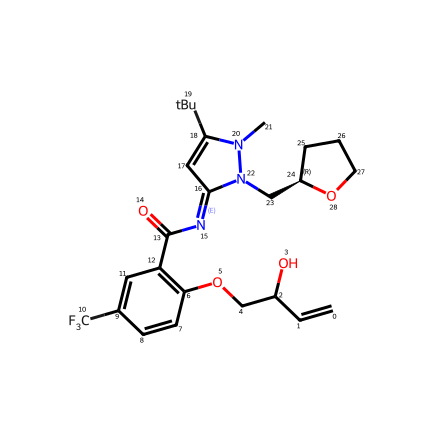 C=CC(O)COc1ccc(C(F)(F)F)cc1C(=O)/N=c1\cc(C(C)(C)C)n(C)n1C[C@H]1CCCO1